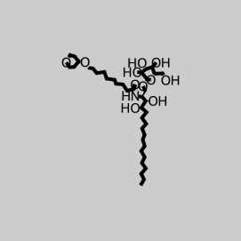 CCCCCCCCCCCCCC[C@@H](O)[C@@H](O)[C@H](COC1OC(CO)C(O)C(O)C1O)NC(=O)CCCCCCCCCOC1CCOCC1